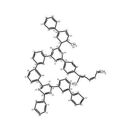 C=C/C=C\C=C(/C)c1ccc(-c2nc(-c3cccc(-c4cccc(-c5nc(-c6ccccc6)nc(-c6cccc(-c7ccccc7)c6)n5)c4)c3)nc(C3C=C(c4ccccc4)C=CC3C)n2)cc1